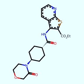 CCOC(=O)c1sc2ncccc2c1NC(=O)[C@H]1CC[C@H](N2CCOCC2=O)CC1